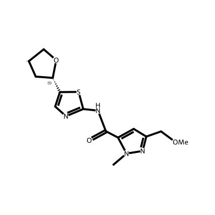 COCc1cc(C(=O)Nc2ncc([C@@H]3C[CH]CO3)s2)n(C)n1